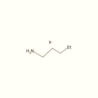 CCCCCN.[Ir]